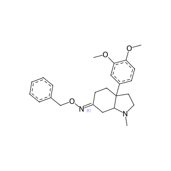 COc1ccc(C23CC/C(=N\OCc4ccccc4)CC2N(C)CC3)cc1OC